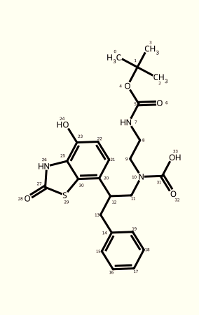 CC(C)(C)OC(=O)NCCN(CC(Cc1ccccc1)c1ccc(O)c2[nH]c(=O)sc12)C(=O)O